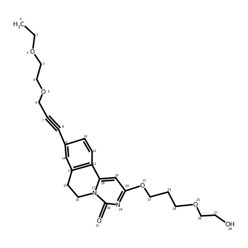 CCOCCOCC#Cc1ccc2c(c1)CCn1c-2cc(OCCCOCCO)nc1=O